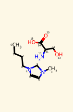 CCCCN1C=CN(C)C1.NC(CO)C(=O)O